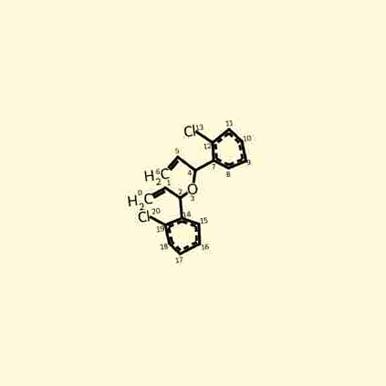 C=CC(OC(C=C)c1ccccc1Cl)c1ccccc1Cl